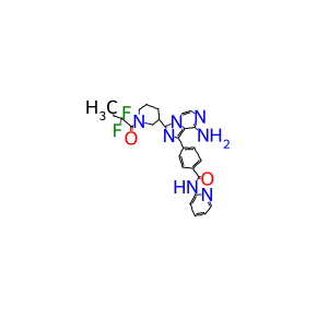 CCC(F)(F)C(=O)N1CCCC(c2nc(-c3ccc(C(=O)Nc4ccccn4)cc3)c3c(N)nccn23)C1